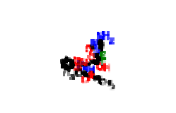 C=CCOC(=O)[C@H](C)N[P@](=O)(OC[C@H]1O[C@@H](n2ccc(N)nc2=O)C(F)(F)[C@@H]1O)Oc1ccccc1